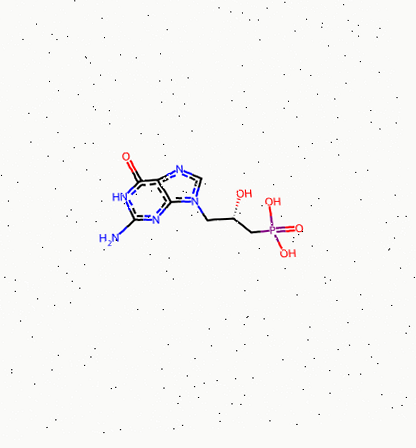 Nc1nc2c(ncn2C[C@H](O)CP(=O)(O)O)c(=O)[nH]1